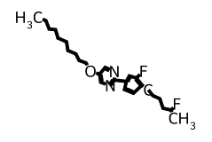 CCCCCCCCCCOc1cnc(-c2ccc(CCCCC(C)F)c(F)c2)nc1